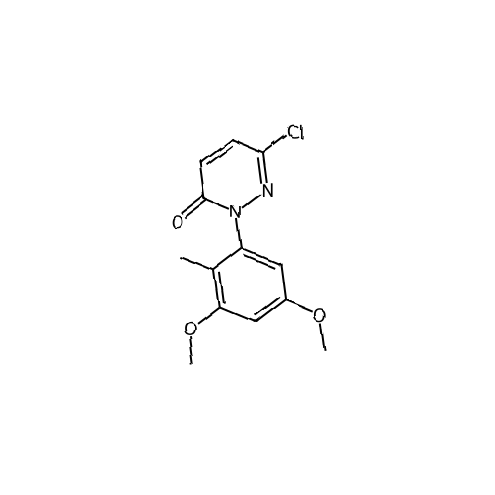 COc1cc(OC)c(C)c(-n2nc(Cl)ccc2=O)c1